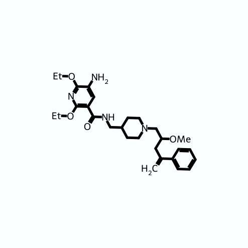 C=C(CC(CN1CCC(CNC(=O)c2cc(N)c(OCC)nc2OCC)CC1)OC)c1ccccc1